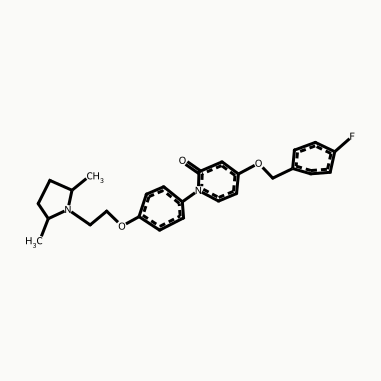 CC1CCC(C)N1CCOc1ccc(-n2ccc(OCc3ccc(F)cc3)cc2=O)cc1